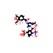 O=CC1CC(NC(=O)c2ccc3c(c2)B(O)OC3)CN1C(=O)c1cc(B(O)O)ccc1[N+](=O)[O-]